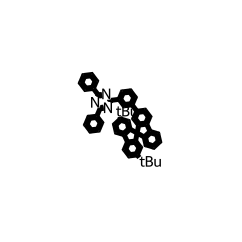 CC(C)(C)c1ccc2c(c1)C1(c3ccccc3-c3ccc(-c4cccc(-c5nc(-c6ccccc6)nc(-c6ccccc6)n5)c4)cc31)c1cc(C(C)(C)C)ccc1-2